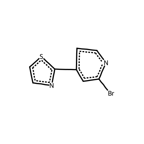 Brc1cc(-c2nccs2)ccn1